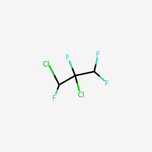 FC(F)C(F)(Cl)C(F)Cl